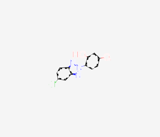 COc1ccc(-n2nc3ccc(Cl)cc3n2)c(O)c1